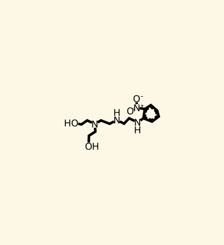 O=[N+]([O-])c1ccccc1NCCNCCN(CCO)CCO